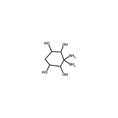 NC1(N)C(O)C(O)CC(O)C1O